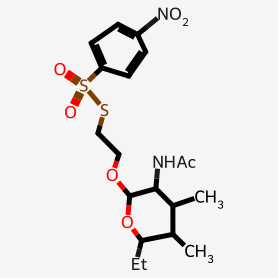 CCC1OC(OCCSS(=O)(=O)c2ccc([N+](=O)[O-])cc2)C(NC(C)=O)C(C)C1C